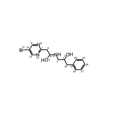 OC(CNC(O)Cc1ncc(Br)cn1)Cc1ccccc1